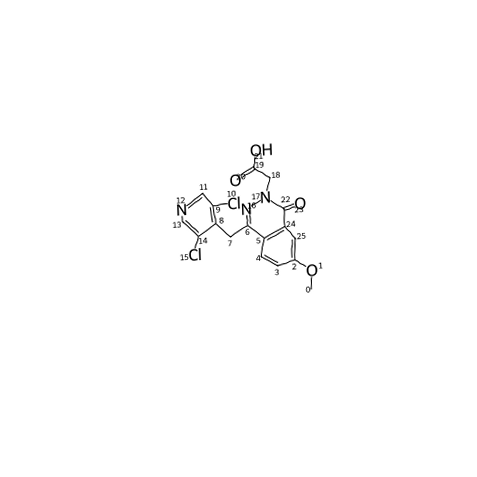 COc1ccc2c(Cc3c(Cl)cncc3Cl)nn(CC(=O)O)c(=O)c2c1